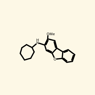 COc1cc2c(cc1NC1CCCCCC1)oc1ccccc12